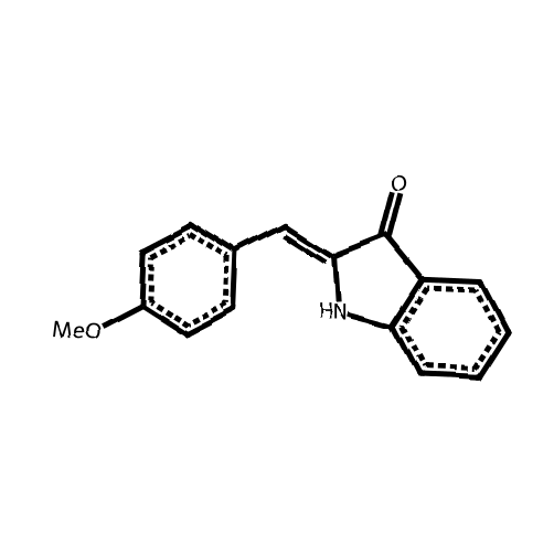 COc1ccc(/C=C2\Nc3ccccc3C2=O)cc1